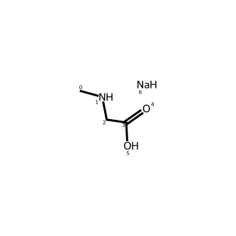 CNCC(=O)O.[NaH]